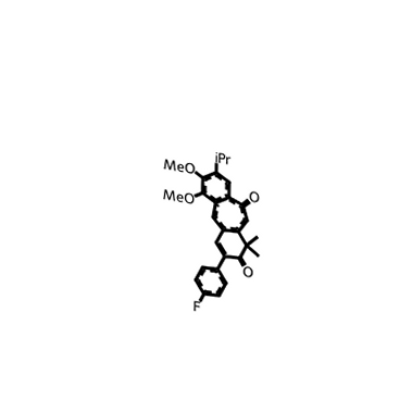 COc1c(C(C)C)cc2c(=O)cc3c(cc2c1OC)C=C(c1ccc(F)cc1)C(=O)C3(C)C